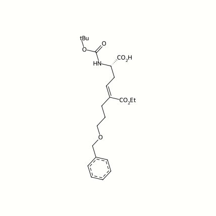 CCOC(=O)/C(=C\C[C@H](NC(=O)OC(C)(C)C)C(=O)O)CCCOCc1ccccc1